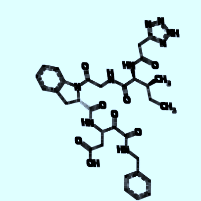 CC[C@H](C)[C@H](NC(=O)Cc1nn[nH]n1)C(=O)NCC(=O)N1c2ccccc2C[C@H]1C(=O)NC(CC(=O)O)C(=O)C(=O)NCc1ccccc1